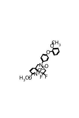 COc1ccc(CN(c2ccc(Oc3ccccc3OC)cc2)S(=O)(=O)CC(F)(F)F)cn1